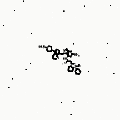 CCCC(CCO[Si](c1ccccc1)(c1ccccc1)C(C)(C)C)Nc1nc(N)nc2cnn(Cc3ccc(C4CCN(C(=O)O)CC4)c4cccnc34)c12